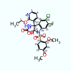 CCOc1ncccc1C1(NC(=O)O)C(=O)N(S(=O)(=O)c2ccc(OC)cc2OC)c2cc(F)c(Cl)cc21